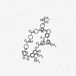 CNC(=O)COc1cc2cc(Nc3nc(N4CCC(C(=O)NC5CCC(C(=O)N6CCC(n7nc(N8CCCc9cc(-c%10cnn(C)c%10)c(C(F)F)cc98)c8c7CCN(C(=O)NC)C8)CC6)CC5)CC4)ncc3Cl)cc(OC)c2n(C)c1=O